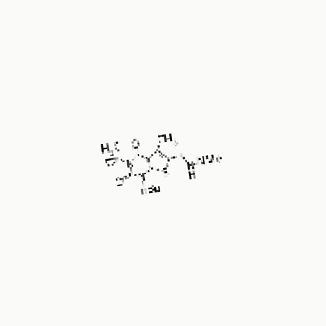 CCCCn1c(=O)n(C2(C)CC2)c(=O)c2c(C)c(CNNC)sc21